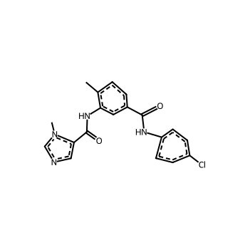 Cc1ccc(C(=O)Nc2ccc(Cl)cc2)cc1NC(=O)c1cncn1C